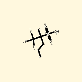 CCCC(C)(C(F)(F)F)S(=O)(=O)O